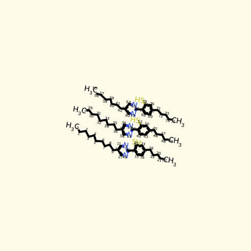 CCCCCCCCCCc1cnc(-c2ccc(CCCCC)cc2S)nc1.CCCCCCCCCc1cnc(-c2ccc(CCCCC)cc2S)nc1.CCCCCCCCc1cnc(-c2ccc(CCCCC)cc2S)nc1